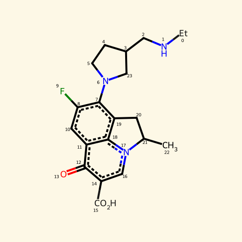 CCNCC1CCN(c2c(F)cc3c(=O)c(C(=O)O)cn4c3c2CC4C)C1